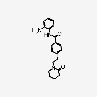 Nc1ccccc1NC(=O)c1ccc(CCN2CCCCC2=O)cc1